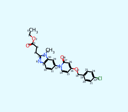 CCOC(=O)CCc1nc2ccc(-n3ccc(OCc4ccc(Cl)cc4)cc3=O)cc2n1C